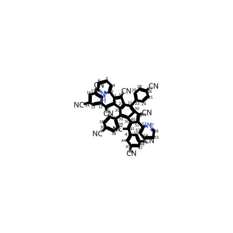 N#CC1=C(C2=CC=CCN2)/C(=C(/C#N)c2cc(C#N)cc(C#N)c2)c2c1c(-c1ccc(C#N)cc1)c1c(c2-c2ccc(C#N)cc2)/C(=C(\C#N)c2cc(C#N)cc(C#N)c2)C(c2ccccn2)=C1C#N